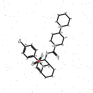 O=C(O[C@@H]1CC=C2CCCC1N2S(=O)(=O)c1ccc(Cl)cc1)N1CCC(N2CCCCC2)CC1